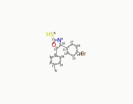 Cc1ccc(-c2oc(S)nc2-c2ccc(Br)cc2)cc1